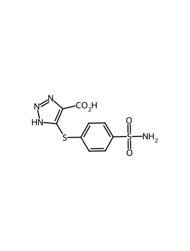 NS(=O)(=O)c1ccc(Sc2[nH]nnc2C(=O)O)cc1